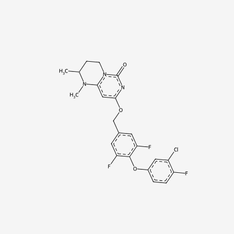 CC1CCn2c(cc(OCc3cc(F)c(Oc4ccc(F)c(Cl)c4)c(F)c3)nc2=O)N1C